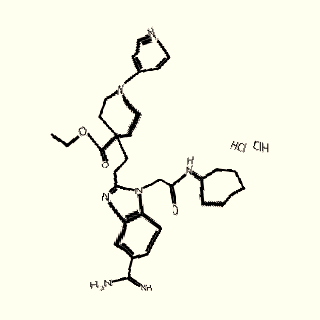 CCOC(=O)C1(CCc2nc3cc(C(=N)N)ccc3n2CC(=O)NC2CCCCC2)CCN(c2ccncc2)CC1.Cl.Cl